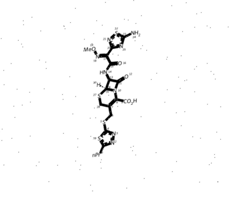 CCCc1nnc(SCC2=C(C(=O)O)N3C(=O)C(NC(=O)C(=NOC)c4nsc(N)n4)[C@@H]3SC2)s1